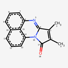 CC1=C(C)C2=Nc3cccc4cccc(c34)N2C1=O